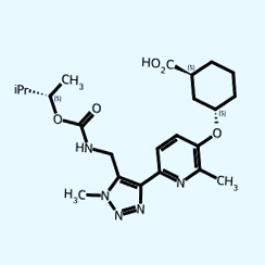 Cc1nc(-c2nnn(C)c2CNC(=O)O[C@@H](C)C(C)C)ccc1O[C@H]1CCC[C@H](C(=O)O)C1